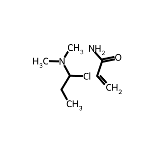 C=CC(N)=O.CCC(Cl)N(C)C